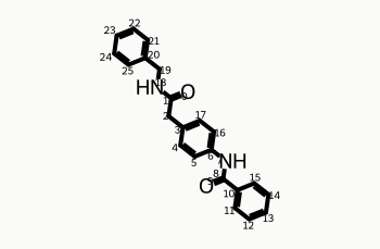 O=C(Cc1ccc(NC(=O)c2ccccc2)cc1)NCc1ccccc1